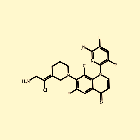 NCC(Cl)=C1CCCN(c2c(F)cc3c(=O)ccn(-c4nc(N)c(F)cc4F)c3c2Cl)C1